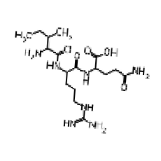 CCC(C)C(N)C(=O)NC(CCCNC(=N)N)C(=O)NC(CCC(N)=O)C(=O)O